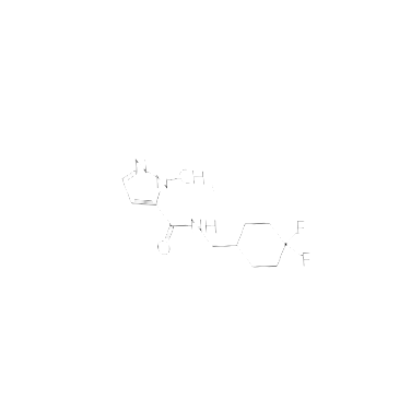 Cn1nccc1C(=O)NCC1CCC(F)(F)CC1